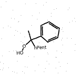 CCCCCC(C)(OO)c1ccccc1